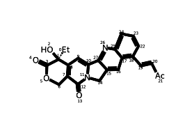 CC[C@@]1(O)C(=O)OCc2c1cc1n(c2=O)Cc2cc3c(C=CC(C)=O)cccc3nc2-1